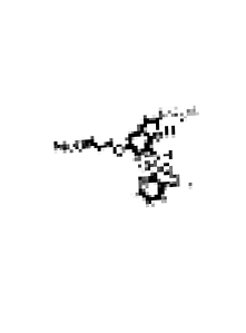 CCOC(=O)c1cc2cc(OCCCOC)cc(NS(=O)(=O)c3ncccc3C)c2[nH]1